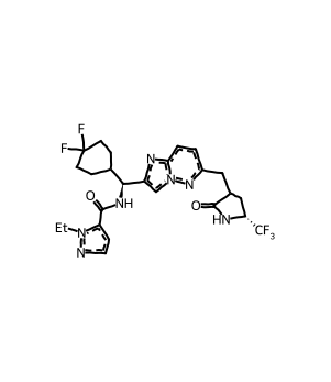 CCn1nccc1C(=O)N[C@H](c1cn2nc(CC3C[C@H](C(F)(F)F)NC3=O)ccc2n1)C1CCC(F)(F)CC1